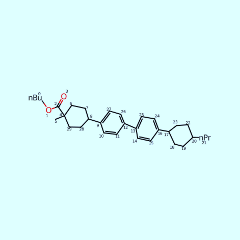 CCCCOC(=O)C1(C)CCC(c2ccc(-c3ccc(C4CCC(CCC)CC4)cc3)cc2)CC1